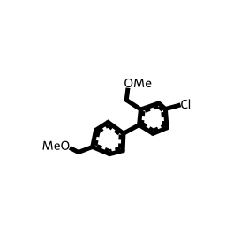 COCc1ccc(-c2ccc(Cl)cc2COC)cc1